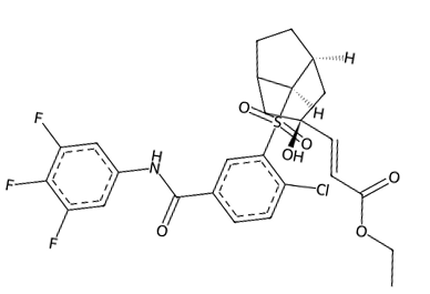 CCOC(=O)/C=C/[C@]1(O)CC2CC[C@@H](C1)[C@H]2S(=O)(=O)c1cc(C(=O)Nc2cc(F)c(F)c(F)c2)ccc1Cl